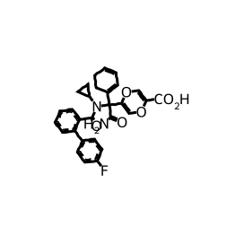 NC(=O)C(C1=CC=CCC1)(C1=COC(C(=O)O)=CO1)N(C(=O)c1ccccc1-c1ccc(F)cc1)C1CC1